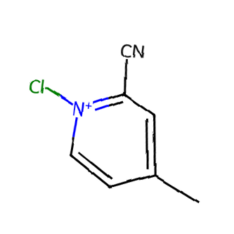 Cc1cc[n+](Cl)c(C#N)c1